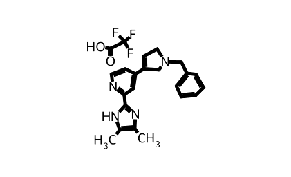 Cc1nc(-c2cc(C3=CCN(Cc4ccccc4)C3)ccn2)[nH]c1C.O=C(O)C(F)(F)F